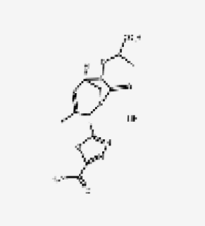 CC1=C[C@@H]2CN(C(=O)N2OC(F)C(=O)O)[C@@H]1c1nnc(C(N)=O)o1.[LiH]